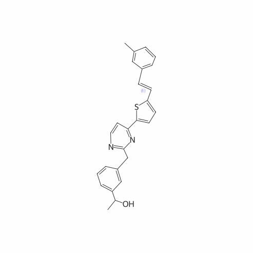 Cc1cccc(/C=C/c2ccc(-c3ccnc(Cc4cccc(C(C)O)c4)n3)s2)c1